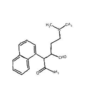 CN(C)CCC(C=O)C(C(N)=O)c1cccc2ccccc12